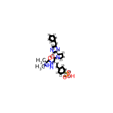 CN[C@@H](C)C(=O)N[C@@H](CCc1ccc(S(=O)(=O)O)cc1)C(=O)N1CCC[C@@H]1c1cncc(Cc2ccccc2)n1